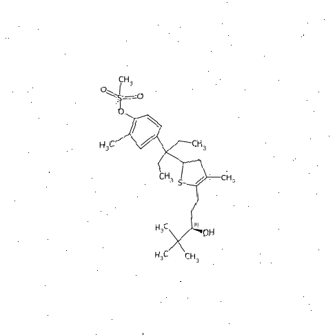 CCC(CC)(c1ccc(OS(C)(=O)=O)c(C)c1)C1CC(C)=C(CC[C@@H](O)C(C)(C)C)S1